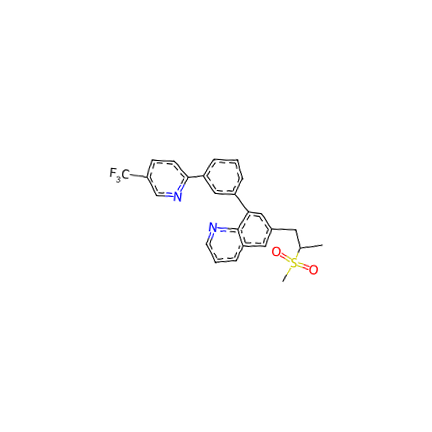 CC(Cc1cc(-c2cccc(-c3ccc(C(F)(F)F)cn3)c2)c2ncccc2c1)S(C)(=O)=O